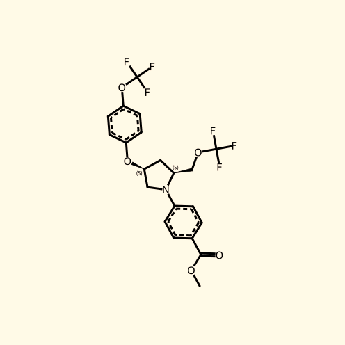 COC(=O)c1ccc(N2C[C@@H](Oc3ccc(OC(F)(F)F)cc3)C[C@H]2COC(F)(F)F)cc1